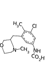 Cc1c(Cl)cc(NC(=O)O)cc1CC1COCCN1C